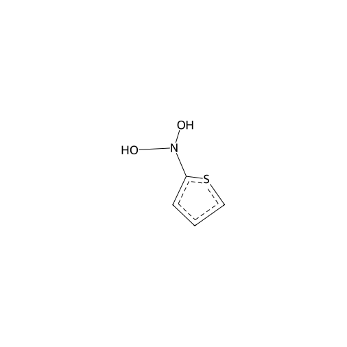 ON(O)c1cccs1